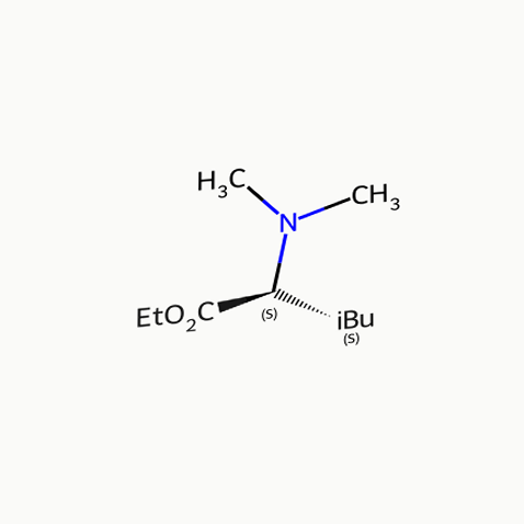 CCOC(=O)[C@H]([C@@H](C)CC)N(C)C